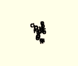 COCOc1nc2c(-c3ccc(Cl)cc3F)nc(N3CCO[C@@H](c4cnn(C)c4)C3)cn2c(=O)c1C